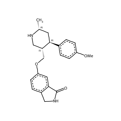 COc1ccc([C@@H]2C[C@@H](C)NC[C@H]2COc2ccc3c(c2)C(=O)NC3)cc1